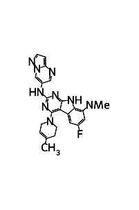 CNc1cc(F)cc2c1[nH]c1nc(Nc3cnc4ccnn4c3)nc(N3CC=C(C)CC3)c12